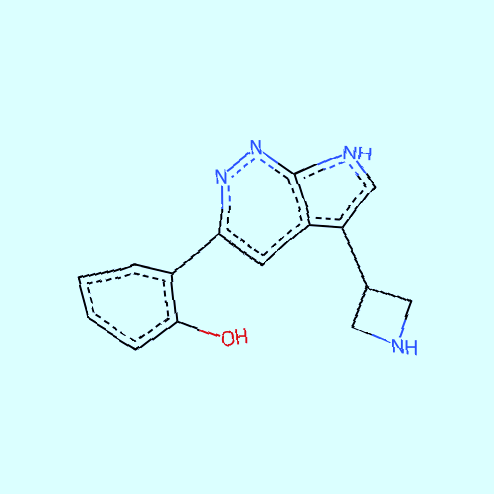 Oc1ccccc1-c1cc2c(C3CNC3)c[nH]c2nn1